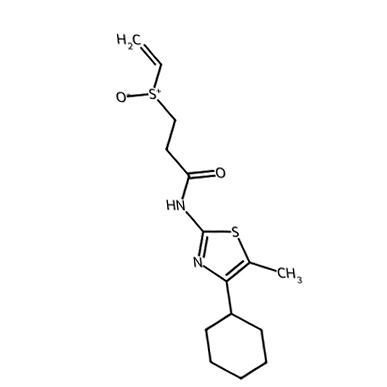 C=C[S+]([O-])CCC(=O)Nc1nc(C2CCCCC2)c(C)s1